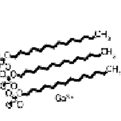 CCCCCCCCCCCCCCOS(=O)(=O)[O-].CCCCCCCCCCCCCCOS(=O)(=O)[O-].CCCCCCCCCCCCCCOS(=O)(=O)[O-].[Ga+3]